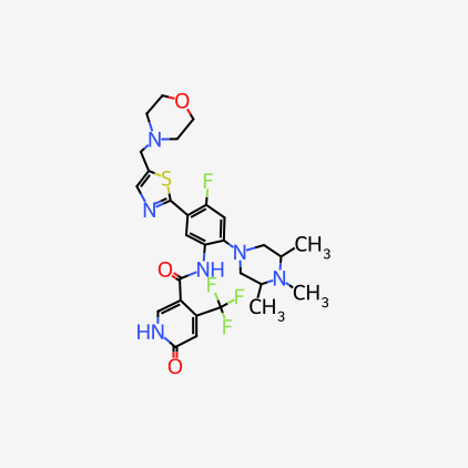 CC1CN(c2cc(F)c(-c3ncc(CN4CCOCC4)s3)cc2NC(=O)c2c[nH]c(=O)cc2C(F)(F)F)CC(C)N1C